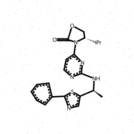 CC(C)[C@H]1COC(=O)N1c1ccnc(N[C@@H](C)c2cnc(-c3ccccc3)s2)n1